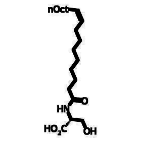 CCCCCCCC/C=C\CCCCCCCC(=O)N[C@H](CO)C(=O)O